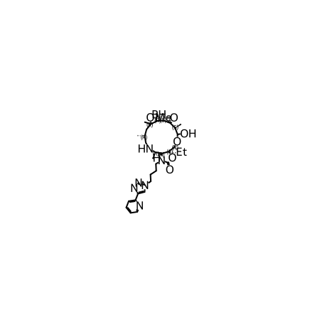 B[C@@H]1[C@H](C)C(=O)[C@@H](C)C(O)O[C@H](CC)[C@@]2(C)OC(=O)N(CCCCn3cc(-c4ccccn4)nn3)[C@@H]2[C@@H](C)NC[C@H](C)C[C@@]1(C)OC